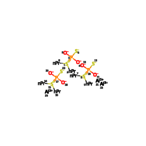 CCCS(CCC)=P([O-])([O-])[S-].CCCS(CCC)=P([O-])([O-])[S-].CCCS(CCC)=P([O-])([O-])[S-].[Al+3].[Al+3].[Al+3]